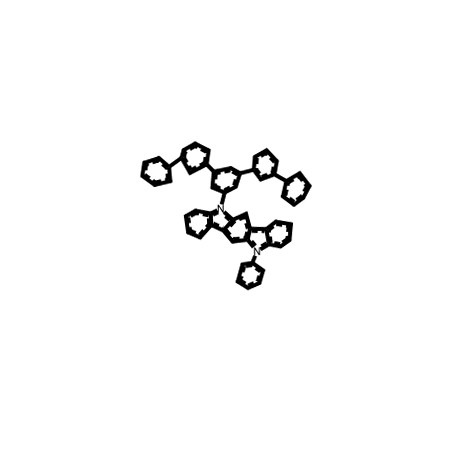 c1ccc(-c2cccc(-c3cc(-c4cccc(-c5ccccc5)c4)cc(-n4c5ccccc5c5cc6c(cc54)c4ccccc4n6-c4ccccc4)c3)c2)cc1